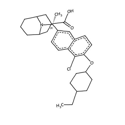 CCC1CCC(Oc2ccc3cc([C@@H](C)N4C5CCCC4CC(C(=O)O)C5)ccc3c2Cl)CC1